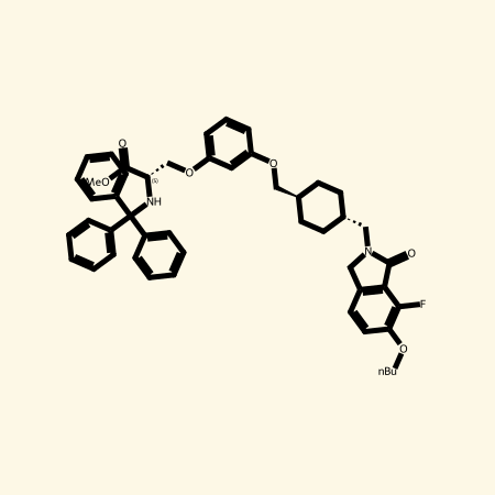 CCCCOc1ccc2c(c1F)C(=O)N(C[C@H]1CC[C@H](COc3cccc(OC[C@H](NC(c4ccccc4)(c4ccccc4)c4ccccc4)C(=O)OC)c3)CC1)C2